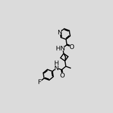 CC(C(=O)Nc1ccc(F)cc1)C12CC(NC(=O)c3cccnc3)(C1)C2